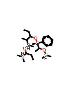 CCC(O[Si](C)(c1ccccc1)C(C)O[SiH](C)C)C(C)[SiH](C)OC(CC)[SiH](C)C